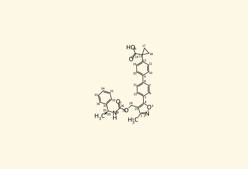 Cc1noc(-c2ccc(-c3ccc(C4(C(=O)O)CC4)cc3)cc2)c1COC(=O)N[C@@H](C)c1ccccc1